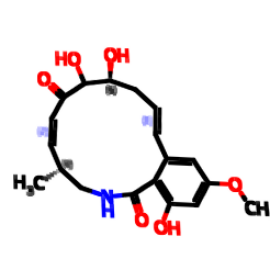 COc1cc(O)c2c(c1)/C=C/C[C@H](O)C(O)C(=O)/C=C\[C@@H](C)CNC2=O